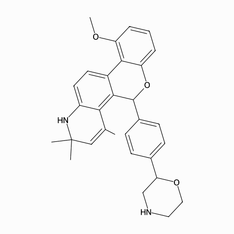 COc1cccc2c1-c1ccc3c(c1C(c1ccc(C4CNCCO4)cc1)O2)C(C)=CC(C)(C)N3